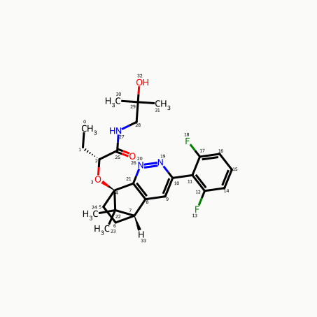 CC[C@@H](O[C@@]12CC[C@@H](c3cc(-c4c(F)cccc4F)nnc31)C2(C)C)C(=O)NCC(C)(C)O